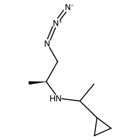 CC(N[C@@H](C)CN=[N+]=[N-])C1CC1